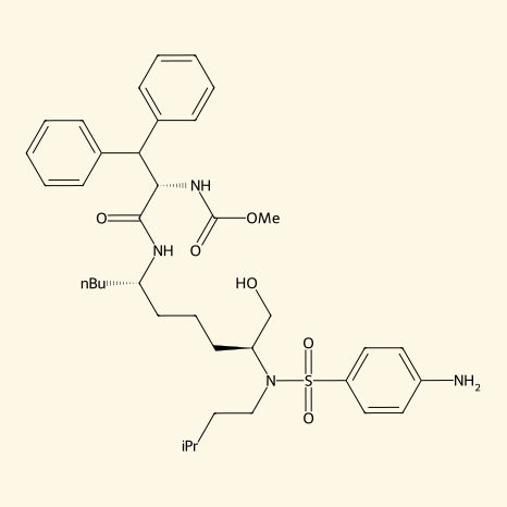 CCCC[C@@H](CCC[C@@H](CO)N(CCC(C)C)S(=O)(=O)c1ccc(N)cc1)NC(=O)[C@@H](NC(=O)OC)C(c1ccccc1)c1ccccc1